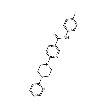 O=C(Nc1ccc(F)cc1)c1ccc(N2CCN(c3ccccn3)CC2)nc1